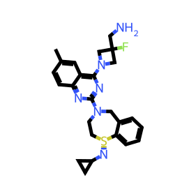 Cc1ccc2nc(N3CCS(=NC4CC4)c4ccccc4C3)nc(N3CC(F)(CN)C3)c2c1